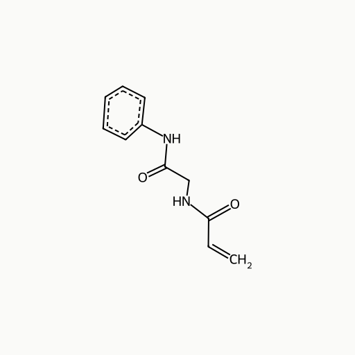 C=CC(=O)NCC(=O)Nc1ccccc1